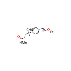 CCO/C=C/c1ccc(C(C)(C=O)CCC(=O)NC)cc1